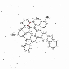 CC(C)(C)c1ccc(N2B3c4cc(C(C)(C)C)ccc4N(c4ccc(C(C)(C)C)cc4-c4ccccc4)c4c3c(cc3c4oc4ccccc43)-c3cc4c(cc32)oc2ccccc24)cc1